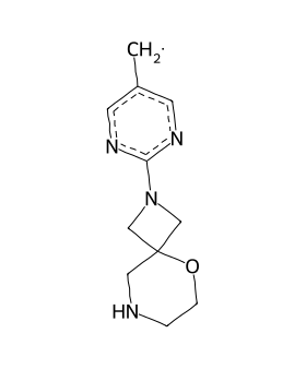 [CH2]c1cnc(N2CC3(CNCCO3)C2)nc1